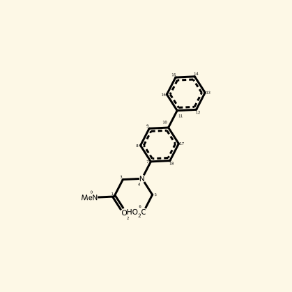 CNC(=O)CN(CC(=O)O)c1ccc(-c2ccccc2)cc1